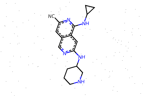 N#Cc1cc2cnc(NC3CCCNC3)cc2c(NC2CC2)n1